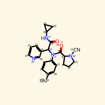 CC(C)(C)c1ccc(N(C(=O)C2CCCN2C#N)C(C(=O)NC2CC2)c2cccnc2)cc1